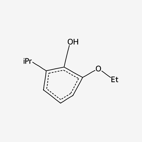 CCOc1cccc(C(C)C)c1O